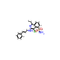 CCc1nc(NCC=Cc2ccccc2)c(Br)c2c(S(N)(=O)=O)cccc12